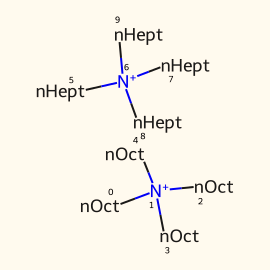 CCCCCCCC[N+](CCCCCCCC)(CCCCCCCC)CCCCCCCC.CCCCCCC[N+](CCCCCCC)(CCCCCCC)CCCCCCC